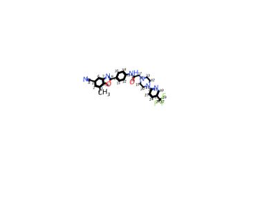 Cc1cc(C#N)cc2nc(-c3ccc(NC(=O)CN4CCN(c5ccc(C(F)(F)F)cn5)CC4)cc3)oc12